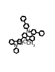 CC1(C)c2ccccc2-c2c(N(c3ccc(C4=CCCC=C4)cc3)c3ccc(-c4ccccc4)cc3)ccc(-c3ccc4c(c3)c3ccccc3n4C3=CCCC=C3)c21